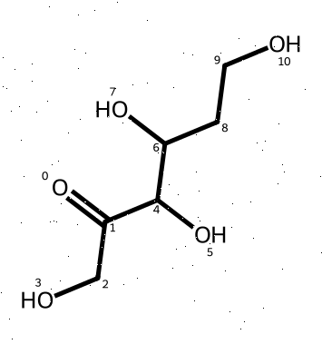 O=C(CO)C(O)C(O)CCO